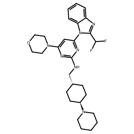 FC(F)c1nc2ccccc2n1-c1cc(N2CCOCC2)nc(NC[C@H]2CC[C@H](N3CCCCC3)CC2)n1